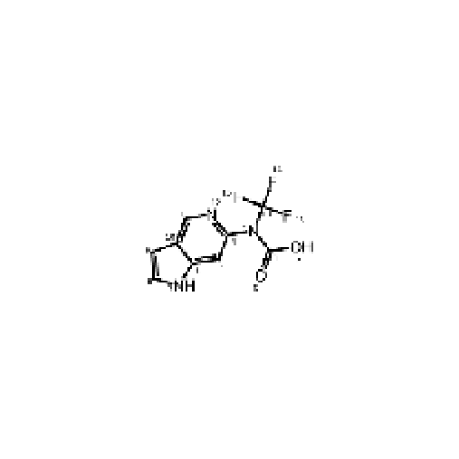 O=C(O)N(c1cc2[nH]ccc2cn1)C(F)(F)F